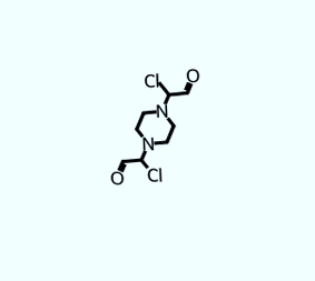 O=CC(Cl)N1CCN(C(Cl)C=O)CC1